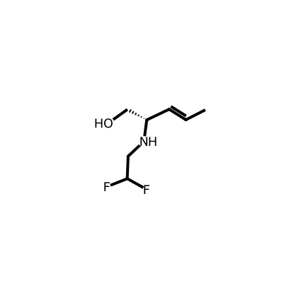 CC=C[C@@H](CO)NCC(F)F